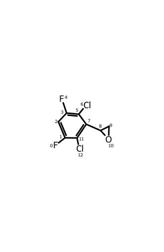 Fc1cc(F)c(Cl)c(C2CO2)c1Cl